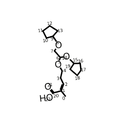 CC(=CCCOC(COC1CCCC1)OC1CCCC1)C(=O)O